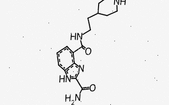 NC(=O)c1nc2c(C(=O)NCCC3CCNCC3)cccc2[nH]1